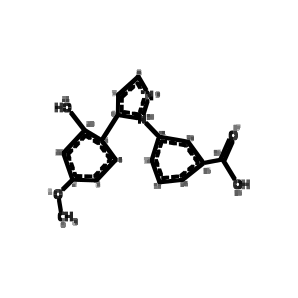 COc1ccc(-c2ccnn2-c2cccc(C(=O)O)c2)c(O)c1